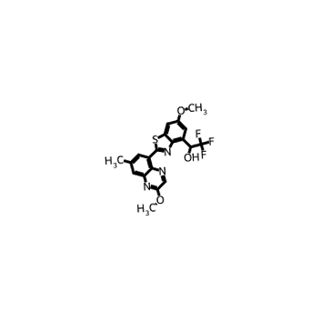 COc1cc(C(O)C(F)(F)F)c2nc(-c3cc(C)cc4nc(OC)cnc34)sc2c1